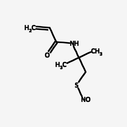 C=CC(=O)NC(C)(C)CSN=O